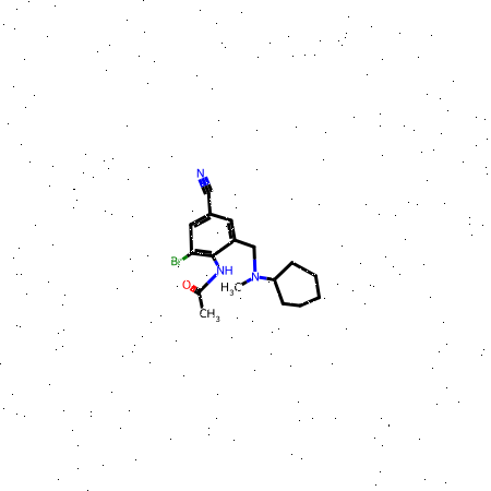 CC(=O)Nc1c(Br)cc(C#N)cc1CN(C)C1CCCCC1